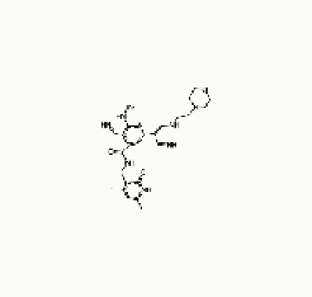 Cc1cc(C)c(CNC(=O)c2cc(/C(C=N)=C/NCCN3CCOCC3)nc(NC(C)C)c2C=N)c(=O)[nH]1